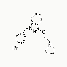 CC(C)c1ccc(Cn2nc(OCCN3CCCC3)c3ccccc32)cc1